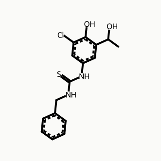 CC(O)c1cc(NC(=S)NCc2ccccc2)cc(Cl)c1O